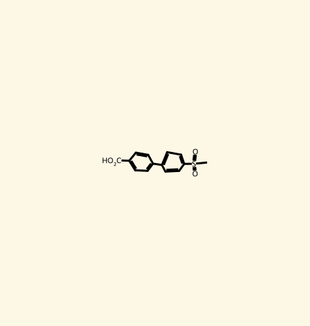 CS(=O)(=O)c1ccc(-c2ccc(C(=O)O)cc2)cc1